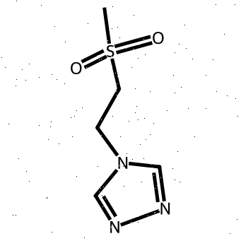 CS(=O)(=O)CCn1cnnc1